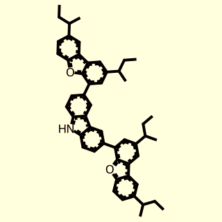 CCC(C)c1ccc2oc3c(-c4ccc5[nH]c6ccc(-c7cc(C(C)CC)cc8c7oc7ccc(C(C)CC)cc78)cc6c5c4)cc(C(C)CC)cc3c2c1